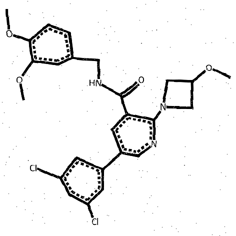 COc1ccc(CNC(=O)c2cc(-c3cc(Cl)cc(Cl)c3)cnc2N2CC(OC)C2)cc1OC